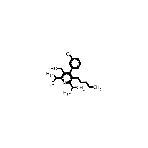 CCCCCc1c(C(C)C)nc(C(C)C)c(CO)c1-c1cccc(Cl)c1